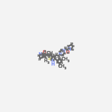 Cc1cc(C)cc(-c2[nH]c3sc(C(C)(C)C(=O)C4C5CCN4CC5)cc3c2CCN2CCN(CC(=O)N3CCCC3)CC2)c1